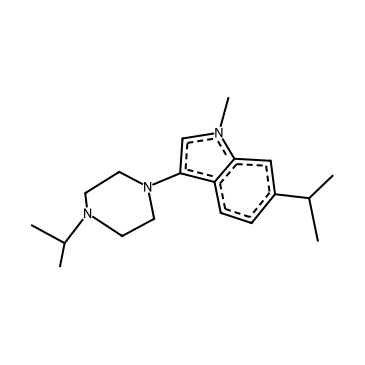 CC(C)c1ccc2c(N3CCN(C(C)C)CC3)cn(C)c2c1